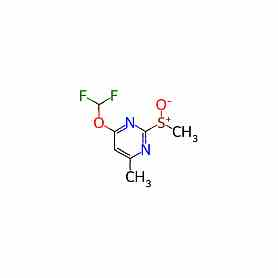 Cc1cc(OC(F)F)nc([S+](C)[O-])n1